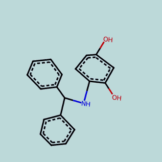 Oc1ccc(NC(c2ccccc2)c2ccccc2)c(O)c1